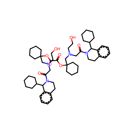 O=C(OC1(CN(CCO)CC(=O)N2CCc3ccccc3C2C2CCCCC2)CCCCC1)C(=O)OC1(CN(CCO)CC(=O)N2CCc3ccccc3C2C2CCCCC2)CCCCC1